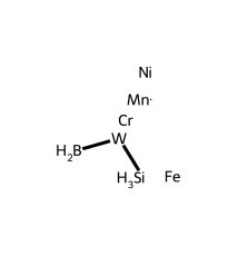 [BH2][W][SiH3].[Cr].[Fe].[Mn].[Ni]